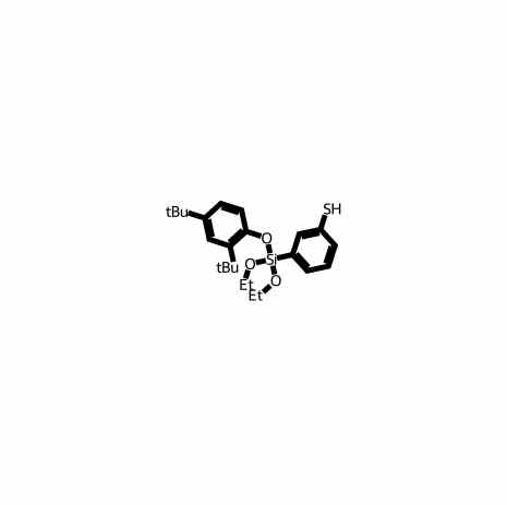 CCO[Si](OCC)(Oc1ccc(C(C)(C)C)cc1C(C)(C)C)c1cccc(S)c1